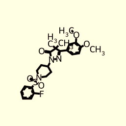 COc1ccc(C2=NN(C3CCN(S(=O)(=O)c4ccccc4F)CC3)C(=O)C2(C)C)cc1OC